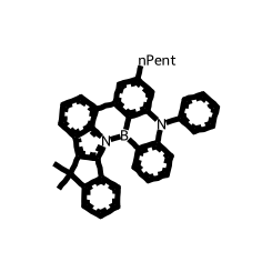 CCCCCc1cc2c3c(c1)N(c1ccccc1)c1ccccc1B3n1c3c(c4cccc-2c41)C(C)(C)c1ccccc1-3